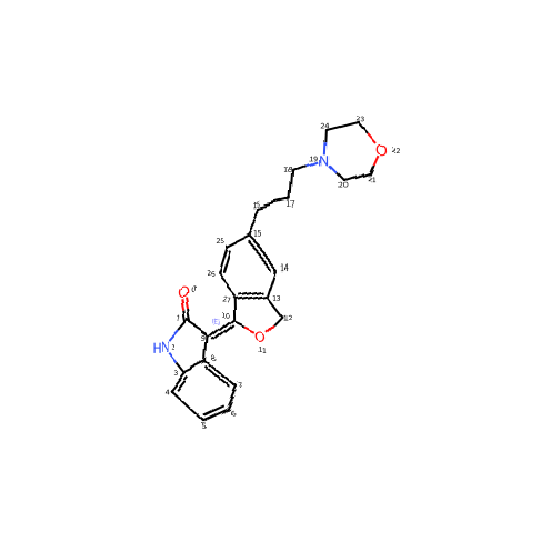 O=C1Nc2ccccc2/C1=C1\OCc2cc(CCCN3CCOCC3)ccc21